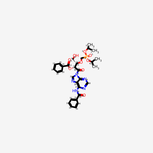 CC(C)OP(=O)(CO[C@@H](CO)[C@@H](OC(=O)c1ccccc1)C(=O)n1cnc2c(NC(=O)c3ccccc3)ncnc21)OC(C)C